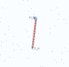 Cc1cn(CCOCCOCCOCCOCCOCCOCCOCCOCCOCCOCCC(=O)O)nn1